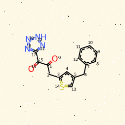 O=C(Cc1cc(Cc2ccccc2)cs1)C(=O)c1nn[nH]n1